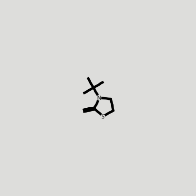 C=C1SCCN1C(C)(C)C